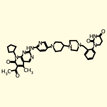 CC(=O)c1c(C)c2cnc(Nc3ccc(N4CCC(N5CCN(Cc6ccccc6N6CCC(=O)NC6=O)CC5)CC4)cn3)nc2n(C2CCCC2)c1=O